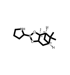 CC1(C)[C@H]2CC3OB(C4CCCN4)O[C@@]3(C)[C@@H]1C2